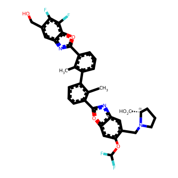 Cc1c(-c2nc3cc(CN4CCC[C@H]4C(=O)O)c(OC(F)F)cc3o2)cccc1-c1cccc(-c2nc3cc(CO)c(F)c(F)c3o2)c1C